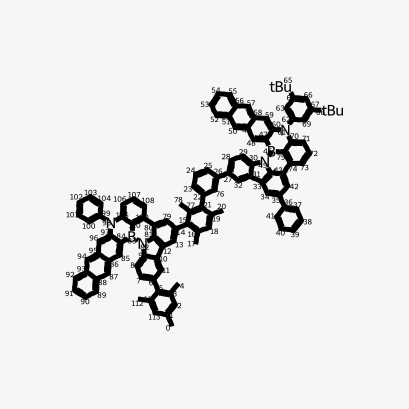 Cc1cc(C)c(-c2ccc3c(c2)c2cc(-c4c(C)cc(C)c(-c5cccc(-c6ccc7c(c6)c6cc(-c8ccccc8)cc8c6n7B6c7cc9cc%10ccccc%10cc9cc7N(c7cc(C(C)(C)C)cc(C(C)(C)C)c7)c7cccc-8c76)c5)c4C)cc4c2n3B2c3cc5cc6ccccc6cc5cc3N(c3ccccc3)c3cccc-4c32)c(C)c1